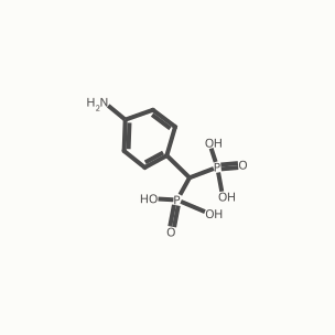 Nc1ccc(C(P(=O)(O)O)P(=O)(O)O)cc1